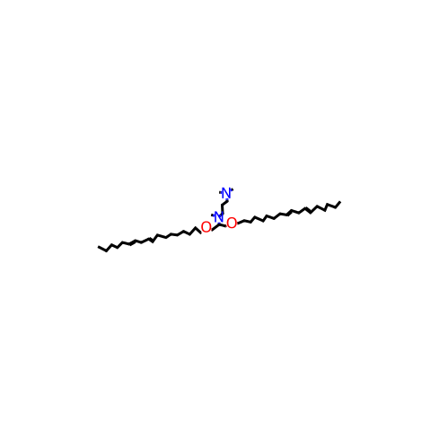 CCCCCC=CCC=CCCCCCCCCOCC(COCCCCCCCCC=CCC=CCCCCC)N(C)CCCN(C)C